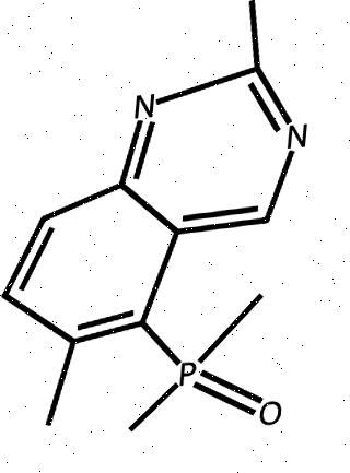 Cc1ncc2c(P(C)(C)=O)c(C)ccc2n1